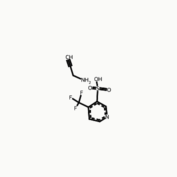 C#CCN.O=S(=O)(O)c1cnccc1C(F)(F)F